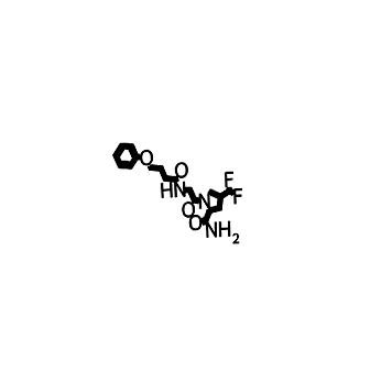 NC(=O)C1CC(C(F)F)CN1C(=O)CNC(=O)CCCOc1ccccc1